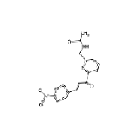 CC(=O)NCc1cccc(C(=O)C=Cc2ccc([N+](=O)[O-])cc2)n1